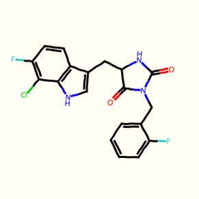 O=C1NC(Cc2c[nH]c3c(Cl)c(F)ccc23)C(=O)N1Cc1ccccc1F